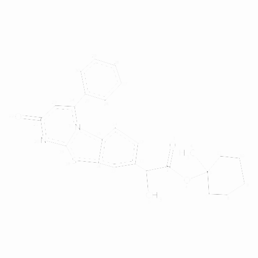 CC(C(=O)OC1(C)CCCCC1)c1ccc2c(c1)sc1nc(=O)cc(-c3ccccc3)n12